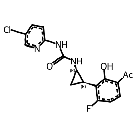 CC(=O)c1ccc(F)c([C@H]2C[C@H]2NC(=O)Nc2ccc(Cl)cn2)c1O